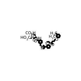 Cc1cccc(OCCCC(=O)N2CCSc3c(-c4cnn(Cc5cccc(C(=O)N[C@@H](CCC(=O)O)C(=O)NCC(=O)O)c5)c4)cccc32)c1C